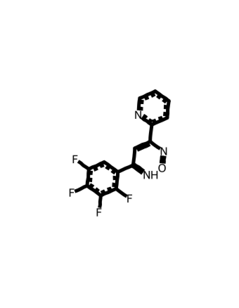 N=C(/C=C(\N=O)c1ccccn1)c1cc(F)c(F)c(F)c1F